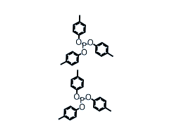 Cc1ccc(OP(Oc2ccc(C)cc2)Oc2ccc(C)cc2)cc1.Cc1ccc(OP(Oc2ccc(C)cc2)Oc2ccc(C)cc2)cc1